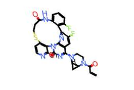 C=CC(=O)N1CCN(c2nc(=O)n3c4nc(c(F)cc24)-c2c(F)cccc2NC(=O)CCSc2ccnc(C(C)C)c2-3)C2C[C@H]21